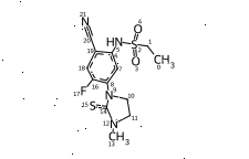 CCS(=O)(=O)Nc1cc(N2CCN(C)C2=S)c(F)cc1C#N